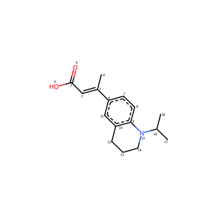 CC(=CC(=O)O)c1ccc2c(c1)CCCN2C(C)C